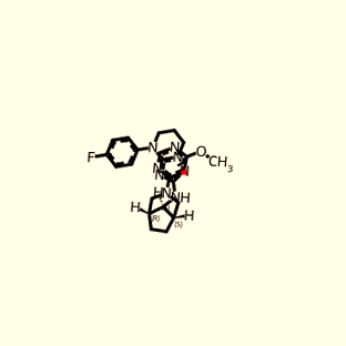 COc1cc(N2C[C@H]3CC[C@@H](C2)[C@@H]3Nc2nc3n(n2)CCCN3c2ccc(F)cc2)ncn1